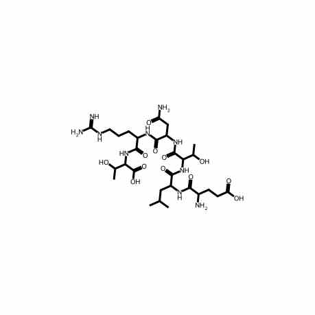 CC(C)CC(NC(=O)C(N)CCC(=O)O)C(=O)NC(C(=O)NC(CC(N)=O)C(=O)NC(CCCNC(=N)N)C(=O)NC(C(=O)O)C(C)O)C(C)O